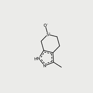 Cc1n[nH]c2c1CC[S+]([O-])C2